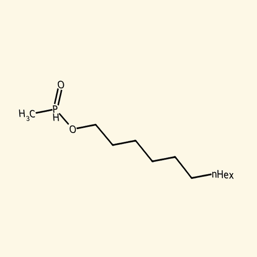 CCCCCCCCCCCCO[PH](C)=O